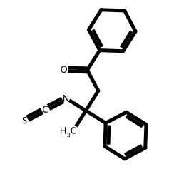 CC(CC(=O)C1=CCCC=C1)(N=C=S)c1ccccc1